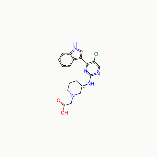 O=C(O)CN1CCC[C@@H](Nc2ncc(Cl)c(-c3c[nH]c4ccccc34)n2)C1